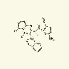 C[C@@H](Nc1nc(N)ncc1C#N)c1nc2cccc(Cl)c2c(=O)n1-c1ccc2cccnc2c1